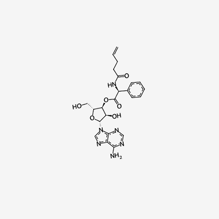 C=CCCC(=O)N[C@H](C(=O)O[C@H]1[C@@H](O)[C@H](n2cnc3c(N)ncnc32)O[C@@H]1CO)c1ccccc1